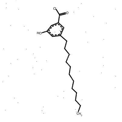 CCCCCCCCCCCCc1cc(O)cc(C(=O)Cl)c1